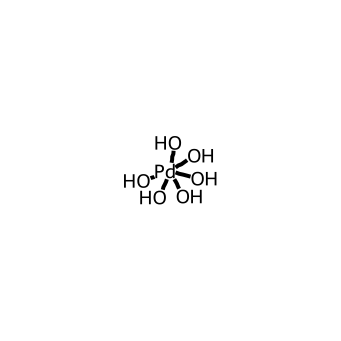 [OH][Pd]([OH])([OH])([OH])([OH])[OH]